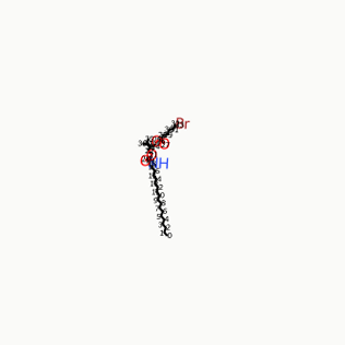 CCCCCCCCCCCCCCCCCCNC(=O)OCC(COC(=O)CCCCCBr)=C(C)C